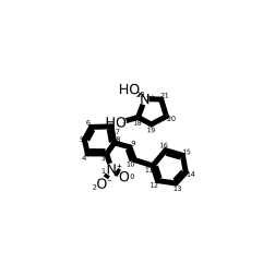 O=[N+]([O-])c1ccccc1C=Cc1ccccc1.OC1CCCN1O